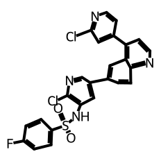 O=S(=O)(Nc1cc(-c2ccc3nccc(-c4ccnc(Cl)c4)c3c2)cnc1Cl)c1ccc(F)cc1